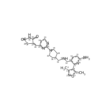 Cc1noc(C)c1-c1nc(N)ccc1CNCC1CCN(c2nccc(C=C3SC(=O)NC3=O)n2)CC1